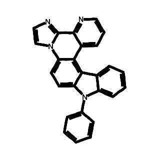 c1ccc(-n2c3ccccc3c3c4c5cccnc5c5nccn5c4ccc32)cc1